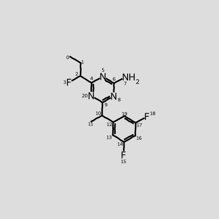 CCC(F)c1nc(N)nc(C(C)c2cc(F)cc(F)c2)n1